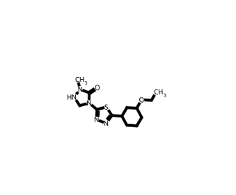 CCOC1CCCC(c2nnc(N3CNN(C)C3=O)s2)C1